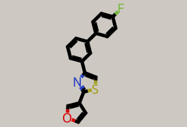 Fc1ccc(-c2cccc(-c3csc(-c4ccoc4)n3)c2)cc1